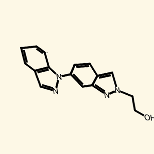 OCCn1cc2ccc(-n3ncc4ccc[c]c43)cc2n1